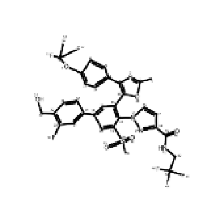 Cc1nc(-c2ccc(OC(F)(F)F)cc2)c(-c2cc(-c3ccc(CO)c(F)c3)cc(S(C)(=O)=O)c2-n2ccc(C(=O)NCC(F)(F)F)n2)o1